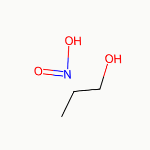 CCCO.O=NO